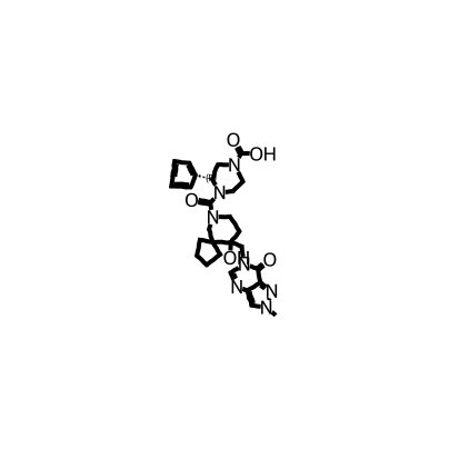 Cn1cc2ncn(CC3(O)CCN(C(=O)N4CCN(C(=O)O)C[C@H]4c4ccccc4)CC34CCCC4)c(=O)c2n1